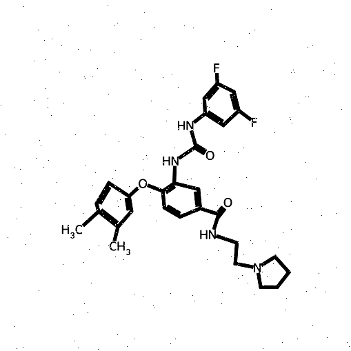 Cc1ccc(Oc2ccc(C(=O)NCCN3CCCC3)cc2NC(=O)Nc2cc(F)cc(F)c2)cc1C